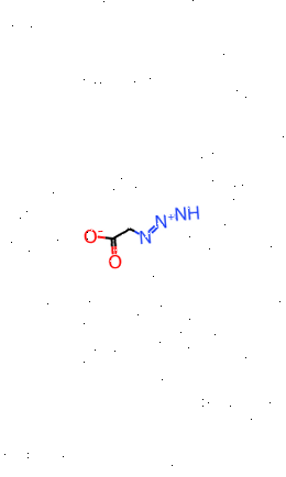 N=[N+]=NCC(=O)[O-]